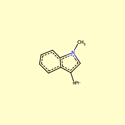 CC[CH]c1cn(C)c2ccccc12